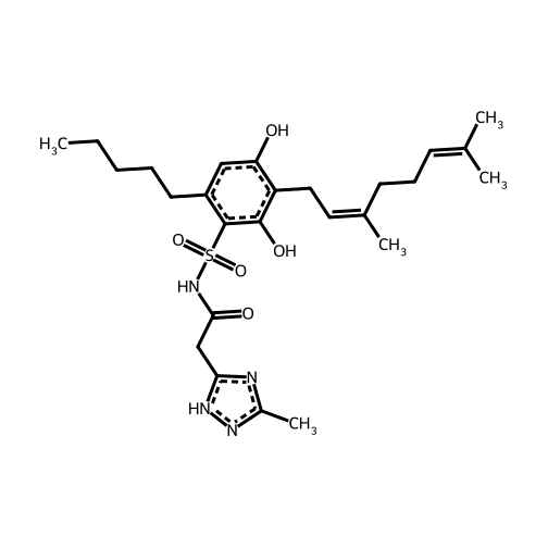 CCCCCc1cc(O)c(CC=C(C)CCC=C(C)C)c(O)c1S(=O)(=O)NC(=O)Cc1nc(C)n[nH]1